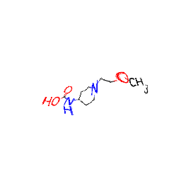 COCCN1CCC(NC(=O)O)CC1